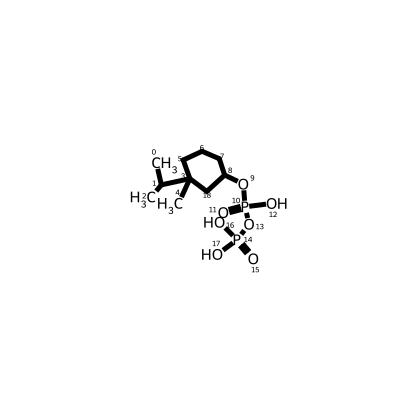 CC(C)C1(C)CCCC(OP(=O)(O)OP(=O)(O)O)C1